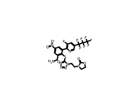 NC(=O)c1cc([N+](=O)[O-])cc(-c2ncc(C(F)(F)C(F)(F)C(F)(F)F)cc2F)c1Sc1nnnn1CCN1CCOC1=O